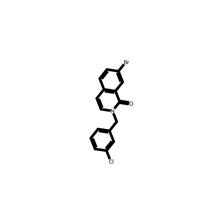 O=c1c2cc(Br)ccc2ccn1Cc1cccc(Cl)c1